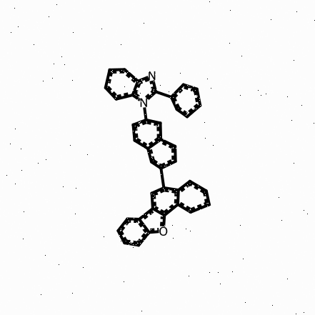 c1ccc(-c2nc3ccccc3n2-c2ccc3cc(-c4cc5c6ccccc6oc5c5ccccc45)ccc3c2)cc1